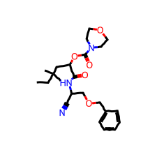 CCC(C)(C)CC(OC(=O)N1CCOCC1)C(=O)NC(C#N)COCc1ccccc1